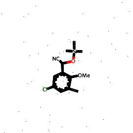 COc1c(C)cc(Cl)cc1C(C#N)O[Si](C)(C)C